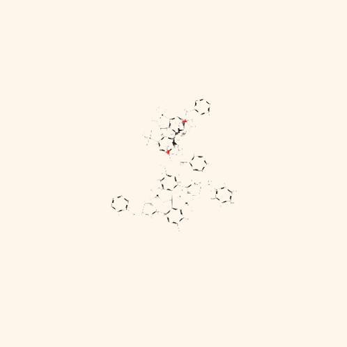 Cc1cc(C2=N[C@@H](Cc3ccccc3)CO2)c2c(c1)C(C)(C)C[C@]21CC(C)(C)c2cc(CCc3cc(C4=N[C@@H](Cc5ccccc5)CO4)c4c(c3)C(C)(C)C[C@@]43CC(C)(C)c4cc(C)cc(C5=N[C@@H](Cc6ccccc6)CO5)c43)cc(C3=N[C@@H](Cc4ccccc4)CO3)c21